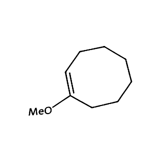 COC1=CCCCCCC1